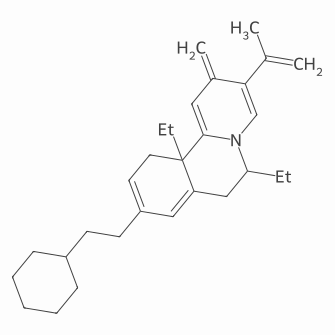 C=C(C)C1=CN2C(=CC1=C)C1(CC)CC=C(CCC3CCCCC3)C=C1CC2CC